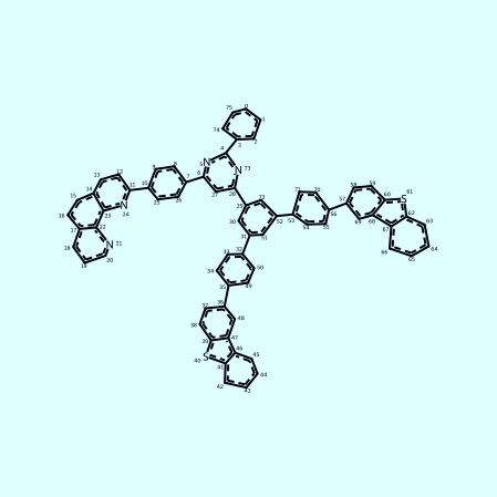 c1ccc(-c2nc(-c3ccc(-c4ccc5ccc6cccnc6c5n4)cc3)cc(-c3cc(-c4ccc(-c5ccc6sc7ccccc7c6c5)cc4)cc(-c4ccc(-c5ccc6sc7ccccc7c6c5)cc4)c3)n2)cc1